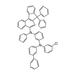 Clc1cccc(N(c2cccc(-c3ccccc3)c2)c2cccc(N(c3ccccc3)c3cc4c(c5ccccc35)-c3ccccc3C4(c3ccccc3)c3ccccc3)c2)c1